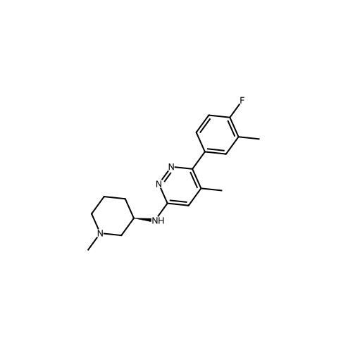 Cc1cc(-c2nnc(N[C@@H]3CCCN(C)C3)cc2C)ccc1F